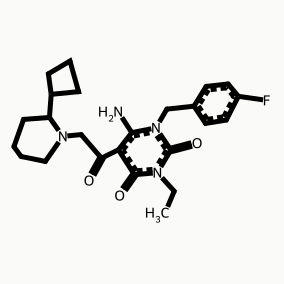 CCn1c(=O)c(C(=O)CN2CCCCC2C2CCC2)c(N)n(Cc2ccc(F)cc2)c1=O